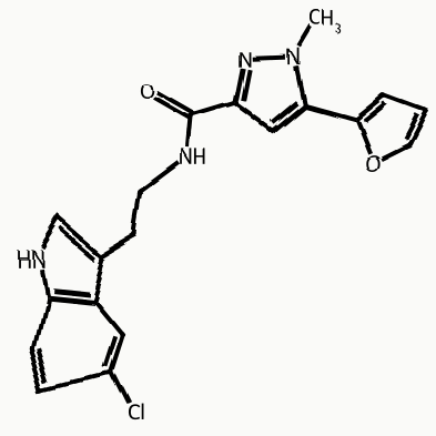 Cn1nc(C(=O)NCCc2c[nH]c3ccc(Cl)cc23)cc1-c1ccco1